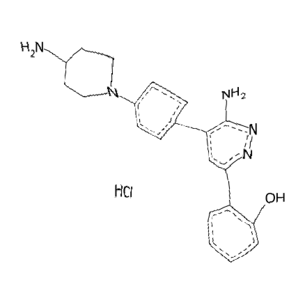 Cl.Nc1nnc(-c2ccccc2O)cc1-c1ccc(N2CCC(N)CC2)cc1